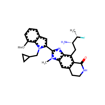 COc1cccc2cc(-c3nc4c(C[C@H](N)[C@H](C)F)c5c(cc4n3C)CCNC5=O)n(CC3CC3)c12